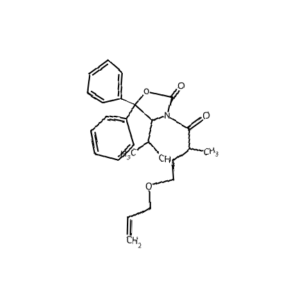 C=CCOCCC(C)C(=O)N1C(=O)OC(c2ccccc2)(c2ccccc2)C1C(C)C